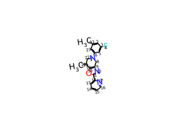 Cc1cc(F)cc(N2Cc3nc(-c4ccccn4)oc3C(C)C2)c1